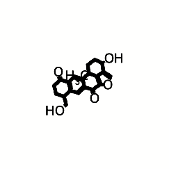 CC12CC[C@@H](O)c3coc(c31)C(=O)c1cc3c(cc12)C(=O)CCC3CO